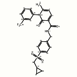 Cc1ccc(C(=O)NCc2ccc(S(=O)(=O)CC3CC3)cc2)c(=O)n1-c1cccc(C(F)(F)F)c1